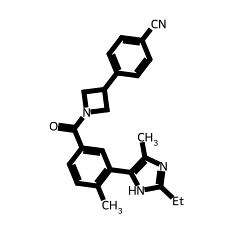 CCc1nc(C)c(-c2cc(C(=O)N3CC(c4ccc(C#N)cc4)C3)ccc2C)[nH]1